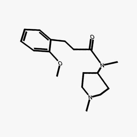 COc1ccccc1CCC(=O)N(C)C1CCN(C)CC1